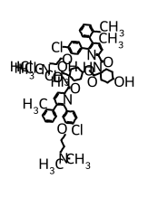 Cc1ccccc1-c1ccc(C(=O)NC2(C(=O)O)CCC(OC(=O)C3(NC(=O)c4ccc(-c5ccccc5C(C)C)c(-c5ccc(Cl)c(OCCCN(C)C)c5)n4)CCC(O)CC3)CC2)nc1-c1ccc(Cl)c(OCCCCN(C)C)c1.Cl.Cl